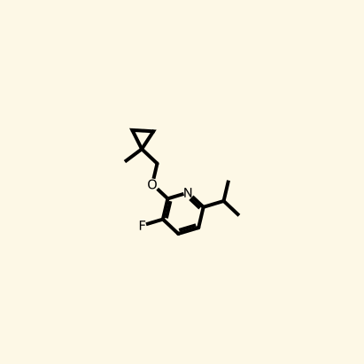 CC(C)c1ccc(F)c(OCC2(C)CC2)n1